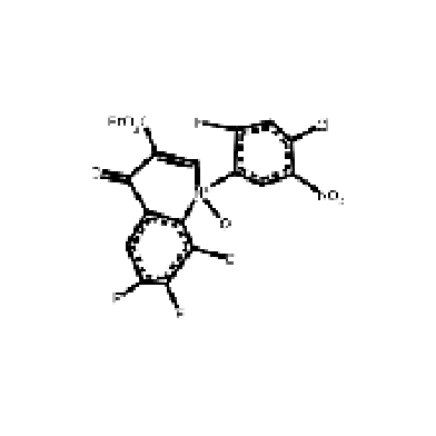 CCOC(=O)C1=C[N+]([O-])(c2cc([N+](=O)[O-])c(Cl)cc2F)c2c(cc(F)c(F)c2Cl)C1=O